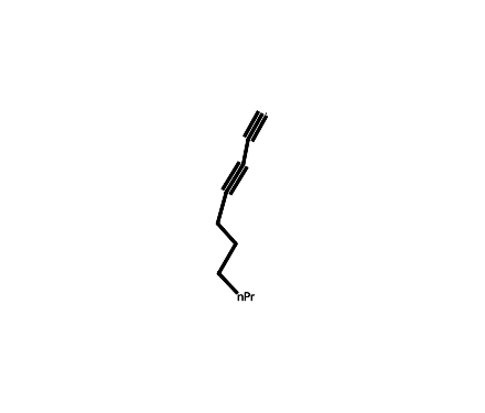 [C]#CC#CCCCCC[CH2]